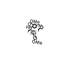 CC=C(Nc1ccc(CN2CCCC2=CC)cc1C(=O)OC)c1csc(N2CC[C@H](OC)C2)n1